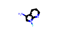 Nc1cn(F)c2ncccc12